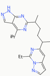 CCc1nc(C(C)CCC(C)c2nc(C(C)C)c3cn[nH]c3n2)cc2ccnn12